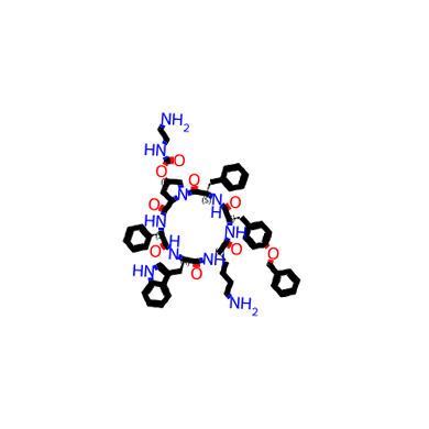 NCCCC[C@@H]1NC(=O)[C@@H](Cc2c[nH]c3ccccc23)NC(=O)[C@H](c2ccccc2)NC(=O)C2C[C@@H](OC(=O)NCCN)CN2C(=O)[C@H](Cc2ccccc2)NC(=O)[C@H](Cc2ccc(OCc3ccccc3)cc2)NC1=O